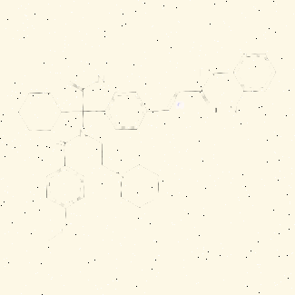 COc1ccc(C(=O)N(CCN2CCOCC2)C(C(N)=O)(c2ccc(/C=C/C(=O)Nc3ccccc3N)cc2)C2CCCCC2)cc1